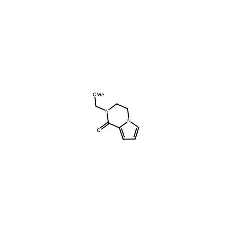 COCN1CCn2cccc2C1=O